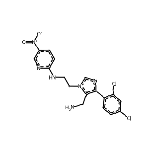 NCc1c(-c2ccc(Cl)cc2Cl)ncn1CCNc1ccc([N+](=O)[O-])cn1